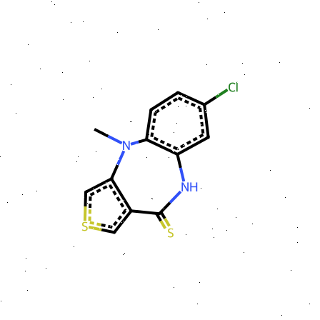 CN1c2ccc(Cl)cc2NC(=S)c2cscc21